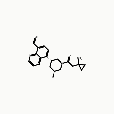 C[C@H]1C[C@H](c2ccc(C=N)c3ncccc23)CN(C(=O)CC2(N)CC2)C1